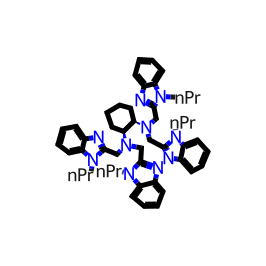 CCCn1c(CN(Cc2nc3ccccc3n2CCC)[C@H]2CCCC[C@@H]2N(Cc2nc3ccccc3n2CCC)Cc2nc3ccccc3n2CCC)nc2ccccc21